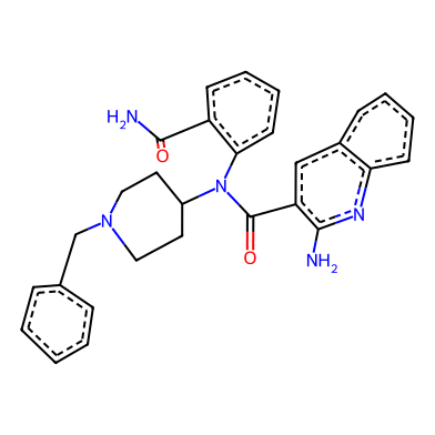 NC(=O)c1ccccc1N(C(=O)c1cc2ccccc2nc1N)C1CCN(Cc2ccccc2)CC1